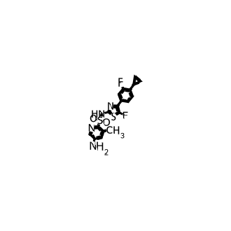 Cc1cc(N)cnc1S(=O)(=O)Nc1nc(-c2ccc(C3CC3)c(F)c2)c(F)s1